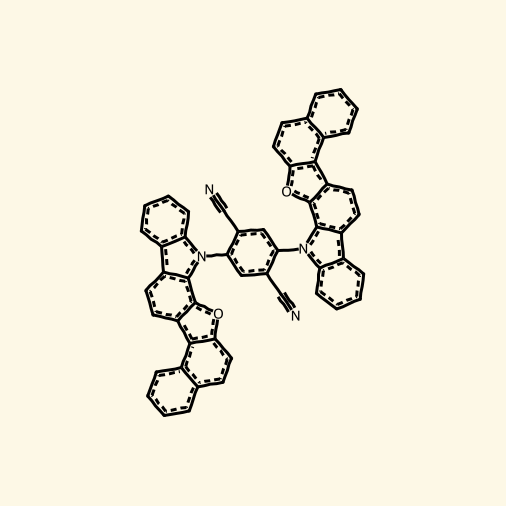 N#Cc1cc(-n2c3ccccc3c3ccc4c(oc5ccc6ccccc6c54)c32)c(C#N)cc1-n1c2ccccc2c2ccc3c(oc4ccc5ccccc5c43)c21